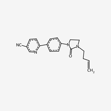 C=CCCN1CCN(c2ccc(-c3ccc(C#N)cn3)cc2)C1=O